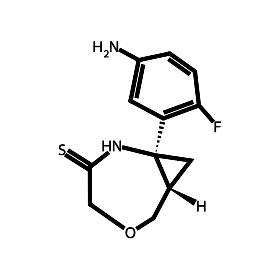 Nc1ccc(F)c([C@]23C[C@@H]2COCC(=S)N3)c1